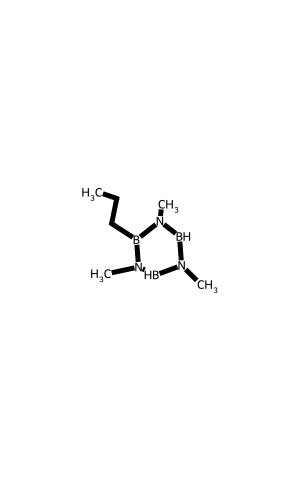 CCCB1N(C)BN(C)BN1C